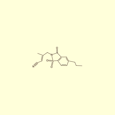 CCCc1ccc2c(c1)C(=O)N(CC(C)=CC#N)S2(=O)=O